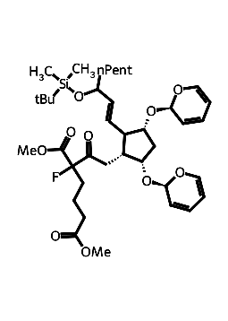 CCCCCC(/C=C/C1[C@@H](CC(=O)C(F)(CCCC(=O)OC)C(=O)OC)[C@@H](O[C@@H]2C=CC=CO2)C[C@H]1O[C@@H]1C=CC=CO1)O[Si](C)(C)C(C)(C)C